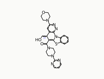 O=C(C1=C2Sc3ccccc3N2c2nnc(N3CCOCC3)cc2/C1=C/O)N1CCN(c2ncccn2)CC1